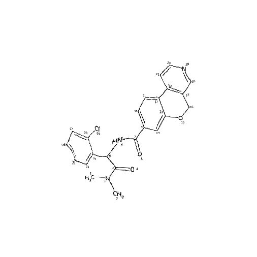 CN(C)C(=O)C(NC(=O)c1ccc2c(c1)OCc1cnccc1-2)c1ccccc1Cl